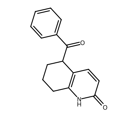 O=C(c1ccccc1)C1CCCc2[nH]c(=O)ccc21